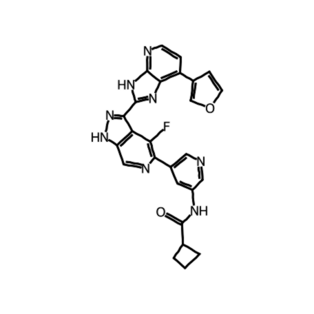 O=C(Nc1cncc(-c2ncc3[nH]nc(-c4nc5c(-c6ccoc6)ccnc5[nH]4)c3c2F)c1)C1CCC1